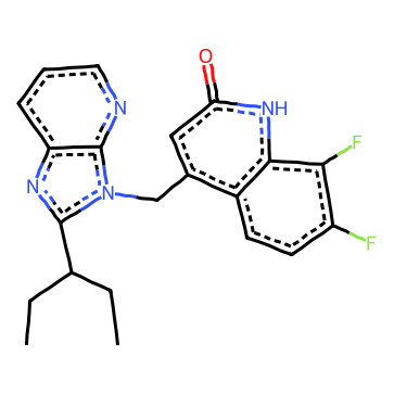 CCC(CC)c1nc2cccnc2n1Cc1cc(=O)[nH]c2c(F)c(F)ccc12